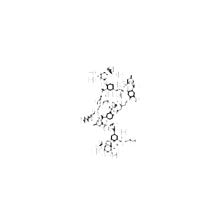 C=C1C[C@H]2C(O)N(C(=O)OCc3ccc(O[C@@H]4O[C@H](C(=O)O)[C@@H](O)[C@H](O)[C@H]4O)c(C(=O)NCCOC)c3)c3cc(OCCC(CCOc4cc5c(cc4OC)C(=O)N4CC(=C)C[C@H]4C(O)N5C(=O)OCc4ccc(O[C@@H]5O[C@H](C(=O)O)[C@@H](O)[C@H](O)[C@H]5O)c(C(=O)NCCOC)c4)NC(=O)COCCOCCOCCN=[N+]=[N-])c(OC)cc3C(=O)N2C1